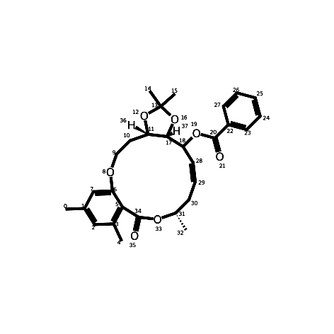 Cc1cc(C)c2c(c1)OCC[C@@H]1OC(C)(C)O[C@@H]1C(OC(=O)c1ccccc1)/C=C\C[C@H](C)OC2=O